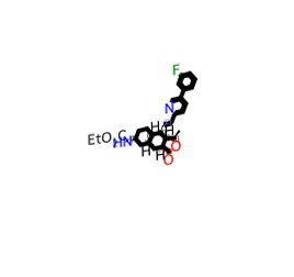 CCOC(=O)N[C@@H]1CC[C@@H]2[C@H](C1)C[C@H]1C(=O)O[C@H](C)[C@H]1[C@H]2/C=C/c1ccc(-c2cccc(F)c2)cn1